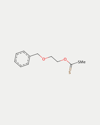 CSC(=S)OCCOCc1ccccc1